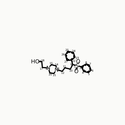 O=S(=O)(c1ccccc1)C(CCCN1CCN(CCO)CC1)c1ccccc1